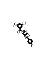 O=C(NCc1csc(-c2ccc(Cl)cc2)n1)c1cc(C(F)(F)F)cc(C(F)(F)F)c1